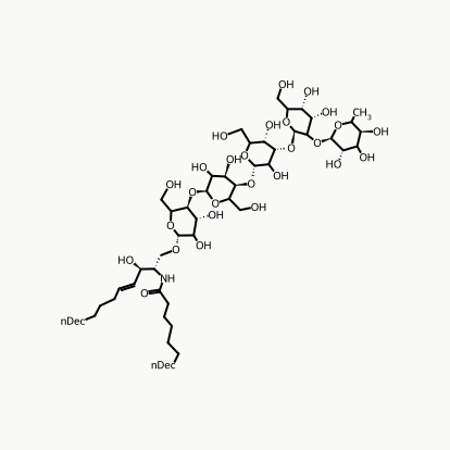 CCCCCCCCCCCCC/C=C/[C@@H](O)[C@H](CO[C@@H]1OC(CO)[C@@H](O[C@@H]2OC(CO)[C@H](O[C@@H]3OC(CO)[C@H](O)[C@H](O[C@H]4OC(CO)[C@H](O)[C@H](O)C4O[C@H]4OC(C)[C@@H](O)C(O)[C@@H]4O)C3O)[C@H](O)C2O)[C@H](O)C1O)NC(=O)CCCCCCCCCCCCCCC